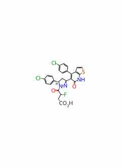 O=C(O)CC(F)C(=O)N1N=C(c2c(-c3ccc(Cl)cc3)c3ccsc3[nH]c2=O)C[C@@H]1c1ccc(Cl)cc1